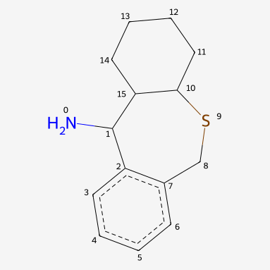 NC1c2ccccc2CSC2CCCCC21